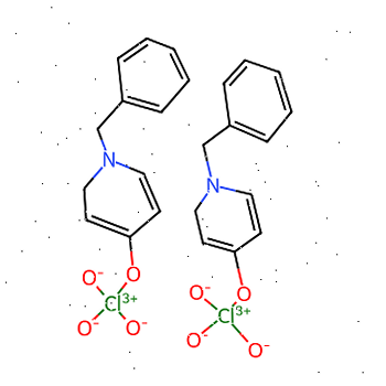 [O-][Cl+3]([O-])([O-])OC1=CCN(Cc2ccccc2)C=C1.[O-][Cl+3]([O-])([O-])OC1=CCN(Cc2ccccc2)C=C1